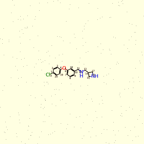 Clc1ccc(Oc2cccc(CNCC3CNC3)c2)cc1